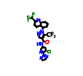 O=C(Nc1cnc(-n2nccn2)c(Cl)c1)c1cnn(-c2cccc3nc(C(F)F)ccc23)c1C(F)(F)F